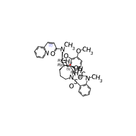 COc1ccc2c3c1O[C@H]1[C@H](N(C)C(=O)/C=C\c4ccccn4)CC[C@@]4(O)[C@@H](C2)N(S(=O)(=O)c2ccccc2N(C)C)CCC[C@]314